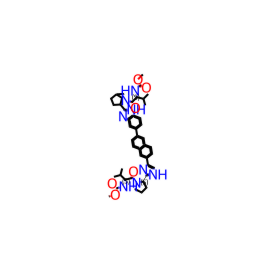 COC(=O)N[C@H](C(=O)N1CCC[C@H]1c1nc(-c2ccc3cc(-c4ccc5[nH]c(C67CCC(CN6C(=O)[C@@H](NC(=O)OC)C(C)C)C7)nc5c4)ccc3c2)c[nH]1)C(C)C